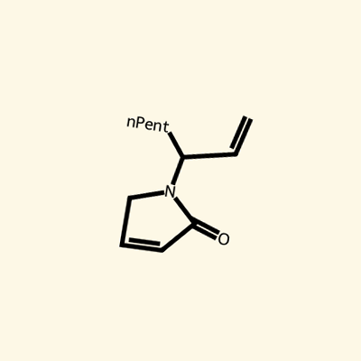 C=CC(CCCCC)N1CC=CC1=O